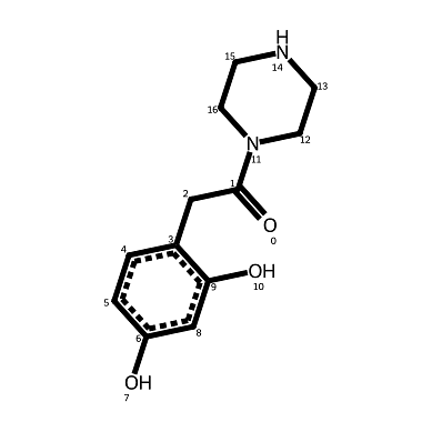 O=C(Cc1ccc(O)cc1O)N1CCNCC1